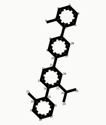 Cc1ccccc1-c1ccc(-c2ccc(-c3ccccc3C)c(C(C)C)c2)cc1